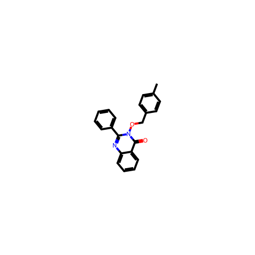 Cc1ccc(COn2c(-c3ccccc3)nc3ccccc3c2=O)cc1